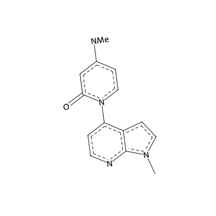 CNc1ccn(-c2ccnc3c2ccn3C)c(=O)c1